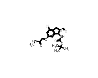 CNC(=O)COc1cc(Cl)c2c(c1)C(NC(=O)OC(C)(C)C)[C@H](C=O)C2